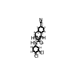 N#Cc1ccc2c(c1)C[C@@H]1CC[C@H]2N1C(=O)Nc1ccc(Cl)c(Cl)c1